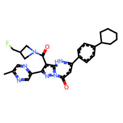 Cc1cnc(-c2nn3c(=O)cc(-c4ccc(C5CCCCC5)cc4)[nH]c3c2C(=O)N2CC(CF)C2)cn1